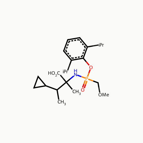 COCP(=O)(NC(C)(C(=O)O)C(C)C1CC1)Oc1c(C(C)C)cccc1C(C)C